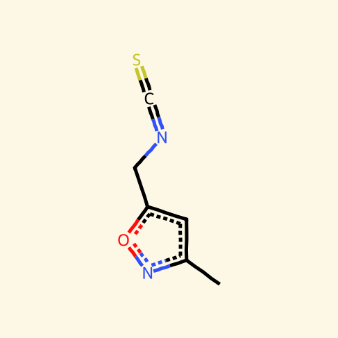 Cc1cc(CN=C=S)on1